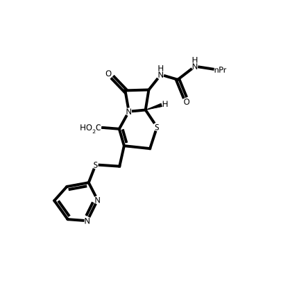 CCCNC(=O)NC1C(=O)N2C(C(=O)O)=C(CSc3cccnn3)CS[C@@H]12